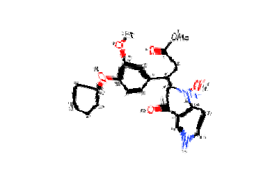 CCOc1cc(C(CC(=O)OC)C2C(=O)c3cnccc3[NH+]2[O-])ccc1OC1CCCC1